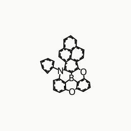 c1ccc(N2c3cccc4c3B3c5c(cccc5Oc5c3c2c2ccc3cccc6ccc5c2c63)O4)cc1